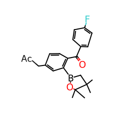 CC(=O)Cc1ccc(C(=O)c2ccc(F)cc2)c(B2CC(C)(C)C(C)(C)O2)c1